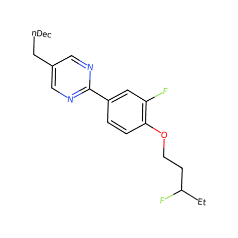 CCCCCCCCCCCc1cnc(-c2ccc(OCCC(F)CC)c(F)c2)nc1